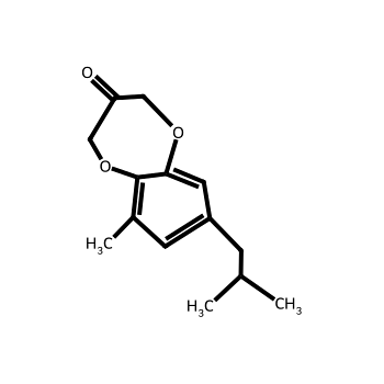 Cc1cc(CC(C)C)cc2c1OCC(=O)CO2